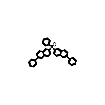 O=P(c1ccccc1)(c1ccc2cc(-c3ccccc3)ccc2c1)c1ccc2cc(-c3ccccc3)ccc2c1